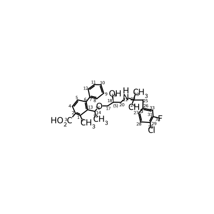 Cc1c(C(=O)O)ccc(-c2ccccc2)c1C(C)OC[C@@H](O)CNC(C)(C)Cc1ccc(Cl)c(F)c1